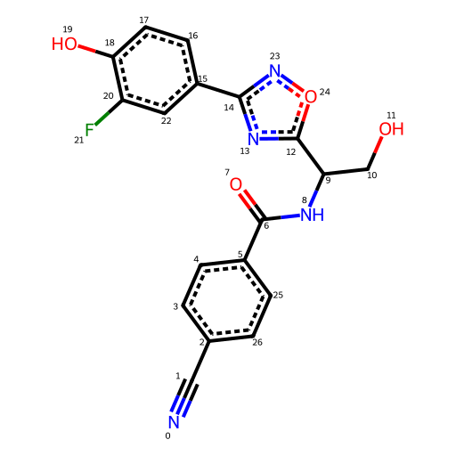 N#Cc1ccc(C(=O)NC(CO)c2nc(-c3ccc(O)c(F)c3)no2)cc1